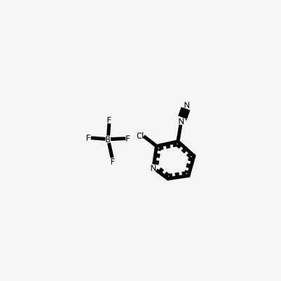 F[B-](F)(F)F.N#[N+]c1cccnc1Cl